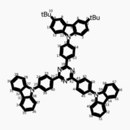 CC(C)(C)c1ccc2c(c1)c1cc(C(C)(C)C)ccc1n2-c1ccc(-c2nc(-c3ccc(-n4c5ccccc5c5ccccc54)cc3)nc(-c3ccc(-n4c5ccccc5c5ccccc54)cc3)n2)cc1